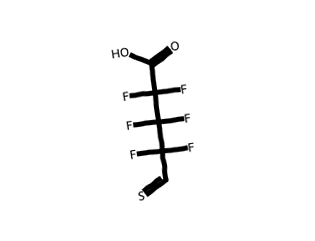 O=C(O)C(F)(F)C(F)(F)C(F)(F)C=S